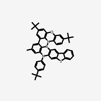 Cc1cc2c3c(c1)N(c1ccc(C(C)(C)C)cc1)c1cc4sc5ccccc5c4cc1B3N1c3ccc(C(C)(C)C)cc3Oc3cc(C(C)(C)C)cc-2c31